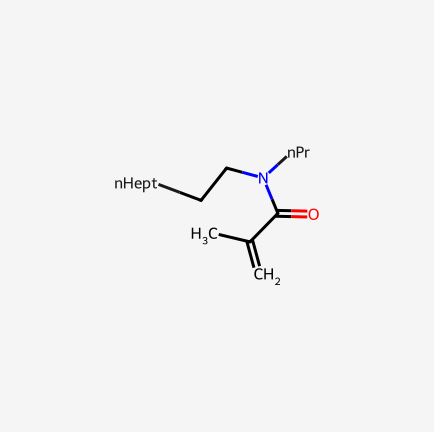 C=C(C)C(=O)N(CCC)CCCCCCCCC